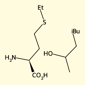 CCC(C)CC(C)O.CCSCC[C@H](N)C(=O)O